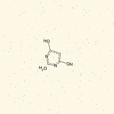 O.Oc1cc(O)ncn1